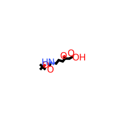 CC(C)(C)OC(=O)NCCCC(=O)CC(=O)O